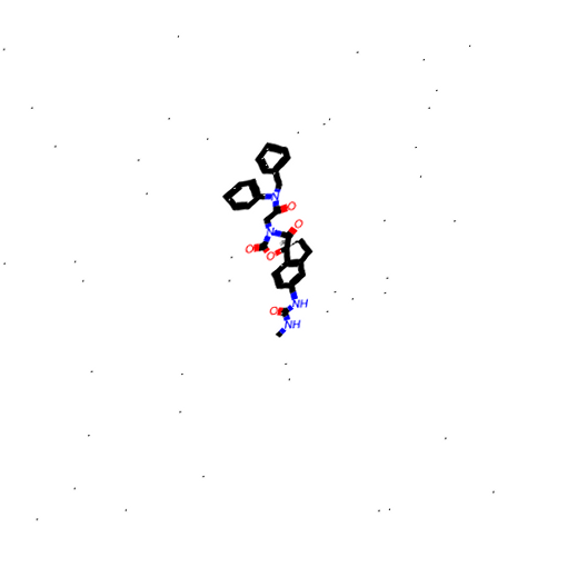 CNC(=O)Nc1ccc2c(c1)CC[C@@]21OC(=O)N(CC(=O)N(Cc2ccccc2)c2ccccc2)C1=O